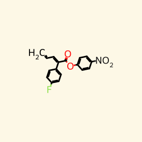 C=CC=C(C(=O)Oc1ccc([N+](=O)[O-])cc1)c1ccc(F)cc1